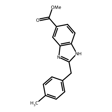 COC(=O)c1ccc2[nH]c(Cc3ccc(C)cc3)nc2c1